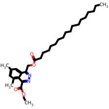 CCCCCCCCCCCCCCCCCC(=O)OCc1nnc(C(=O)OCC)c2c(C)cc(C)cc12